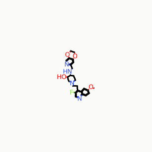 COc1ccc2ncc(F)c(CCN3CC[C@H](NCc4cc5c(cn4)OCCO5)[C@H](O)C3)c2c1